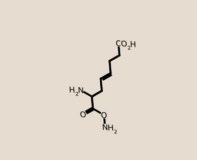 NOC(=O)C(N)CC=CCCC(=O)O